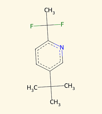 CC(C)(C)c1ccc(C(C)(F)F)nc1